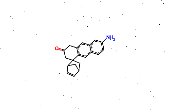 Nc1ccc2cc3c(cc2c1)CC(=O)CC31CC2C=CC1C2